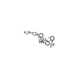 Cc1ccccc1-c1nc(NS(=O)(=O)c2cccc(N3CC4C(N)C4C3)n2)ccc1C(F)(F)F